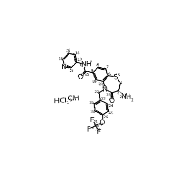 Cl.Cl.N[C@H]1CSc2ccc(C(=O)Nc3cccnc3)cc2N(Cc2ccc(OC(F)(F)F)cc2)C1=O